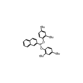 CC(C)(C)c1ccc(OP(Oc2ccc(C(C)(C)C)cc2C(C)(C)C)c2ccc3ccccc3c2)c(C(C)(C)C)c1